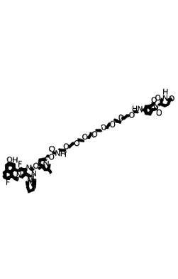 C#Cc1c(F)ccc2cc(O)cc(-c3ncc4c(N5CC6CCC(C5)N6)nc(OCC56CC[C@@H](COC(=O)NCCOCCOCCOCCOCCOCCOCCOCCOCCNc7ccc8c(c7)C(=O)N(C7CCC(=O)NC7=O)C8=O)N5CC(C)C6)nc4c3F)c12